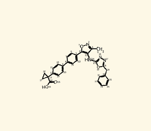 Cc1noc(-c2ccc(-c3ccc(C4(C(=O)O)CC4)cc3)cc2)c1Nc1nnc(Cc2ccccc2)o1